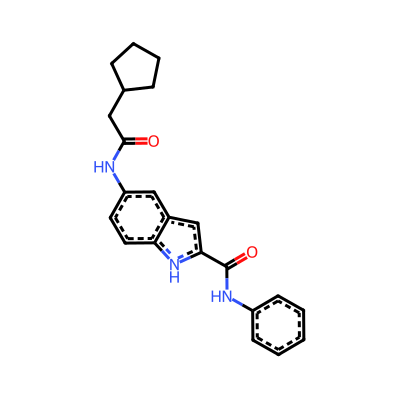 O=C(CC1CCCC1)Nc1ccc2[nH]c(C(=O)Nc3ccccc3)cc2c1